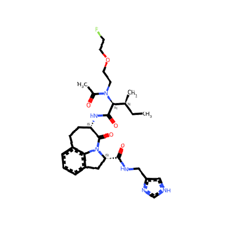 CC[C@H](C)[C@@H](C(=O)N[C@H]1CCc2cccc3c2N(C1=O)[C@H](C(=O)NCc1c[nH]cn1)C3)N(CCOCCF)C(C)=O